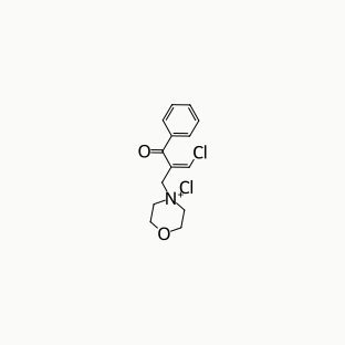 O=C(C(=CCl)C[N+]1(Cl)CCOCC1)c1ccccc1